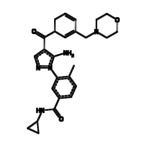 Cc1ccc(C(=O)NC2CC2)cc1-n1ncc(C(=O)C2C=C(CN3CCOCC3)C=CC2)c1N